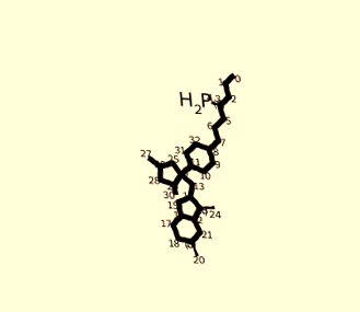 CCC[C@H](P)CCCC1CCC(C2(CC3CC4CC[C@H](C)CC4[C@@H]3C)CC(C)CC2C)CC1